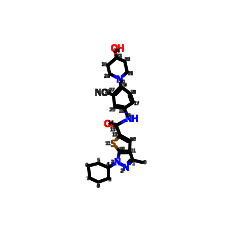 Cc1nn(C2CCCCC2)c2sc(C(=O)Nc3ccc(N4CCC(O)CC4)c(C#N)c3)cc12